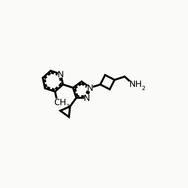 Cc1cccnc1-c1cn(C2CC(CN)C2)nc1C1CC1